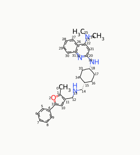 Cc1oc(-c2ccccc2)cc1CNC[C@H]1CC[C@@H](Nc2cc(N(C)C)c3ccccc3n2)CC1